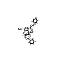 CO[C@H]1O[C@@H]2COC(c3ccccc3)O[C@H]2[C@H](O)[C@H]1NC(=O)OCc1ccccc1